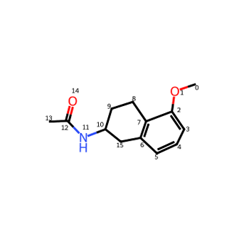 COc1cccc2c1CCC(NC(C)=O)C2